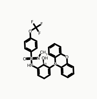 CN=S(=O)(NC1=CCC=C(N2c3ccccc3Oc3ccccc32)[C@@H]1O)c1ccc(OC(F)(F)F)cc1